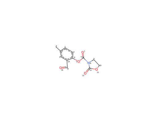 Cc1ccc(OC(=O)N2CCOC2=O)c(C=O)c1